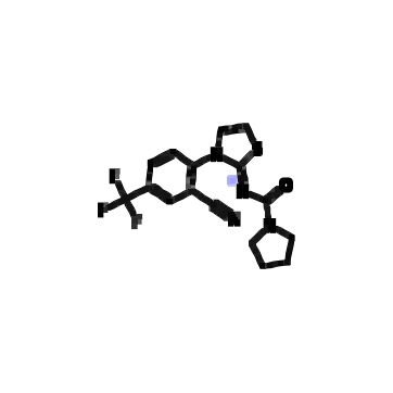 N#Cc1cc(C(F)(F)F)ccc1-n1ccs/c1=N\C(=O)N1CCCC1